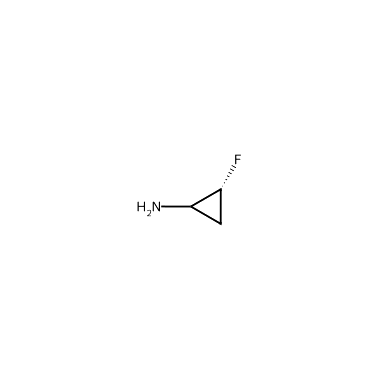 NC1C[C@H]1F